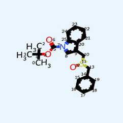 CC(C)(C)OC(=O)n1cc(C[S+]([O-])Cc2ccccc2)c2ccccc21